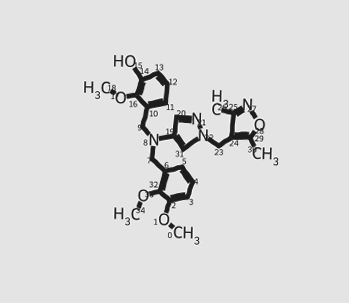 COc1cccc(CN(Cc2cccc(O)c2OC)c2cnn(Cc3c(C)noc3C)c2)c1OC